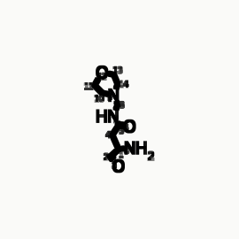 NC(C=O)CC(=O)NCN1CCOCC1